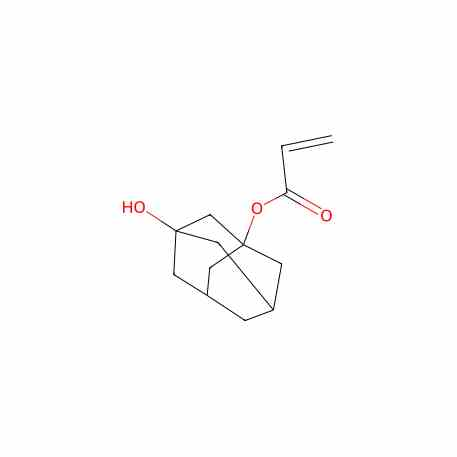 C=CC(=O)OC12CC3CC(CC(O)(C3)C1)C2